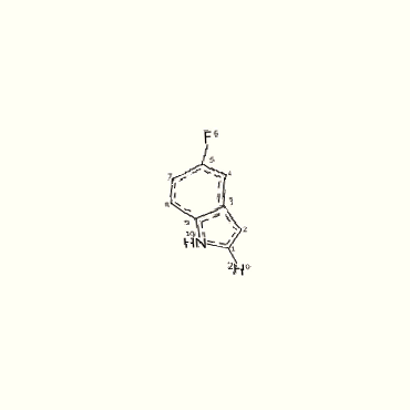 [2H]c1cc2cc(F)ccc2[nH]1